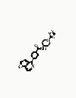 O=C(NC1CCN(c2nncs2)CC1)c1ccc(-c2nccc3occc23)cc1